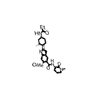 CCC(=O)N[C@H]1CC[C@H](n2cc3cc(C(=O)Nc4cccn(C)c4=O)c(OC)cc3n2)[C@H](C)C1